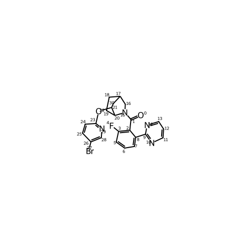 O=C(c1c(F)cccc1-c1ncccn1)N1CC2CCC1C(Oc1ccc(Br)cn1)C2